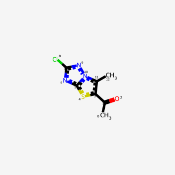 CC(=O)c1sc2nc(Cl)nn2c1C